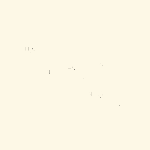 C=C(N)/C=C\NC(=O)N=[N+]=[N-]